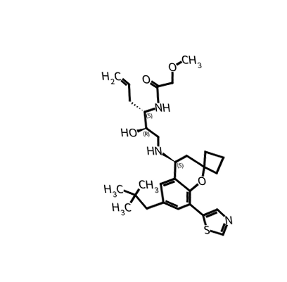 C=CC[C@H](NC(=O)COC)[C@H](O)CN[C@H]1CC2(CCC2)Oc2c(-c3cncs3)cc(CC(C)(C)C)cc21